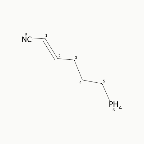 N#CC=CCCC[PH4]